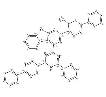 CC1CC(c2ccccc2)=CC=C1c1cc(C2=NC(c3ccc(-c4ccccc4)cc3)NC(c3ccccc3)=N2)c2c(c1)oc1ccccc12